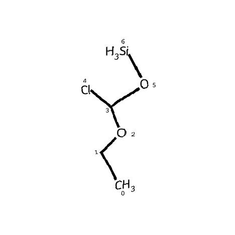 CCOC(Cl)O[SiH3]